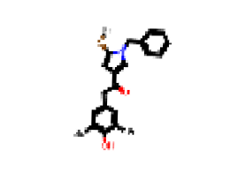 CCSc1cc(C(=O)Cc2cc(C(C)(C)C)c(O)c(C(C)(C)C)c2)cn1Cc1ccccc1